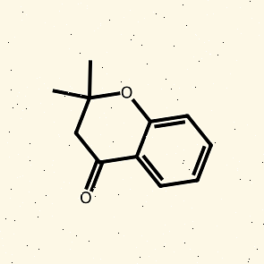 CC1(C)CC(=O)c2ccccc2O1